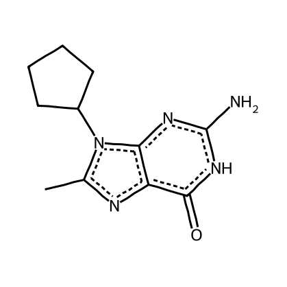 Cc1nc2c(=O)[nH]c(N)nc2n1C1CCCC1